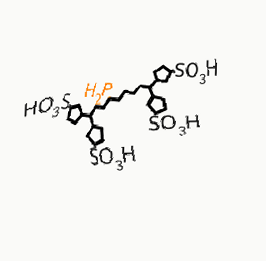 O=S(=O)(O)C1CCC(C(CCCCC(P)CCC(C2CCC(S(=O)(=O)O)C2)C2CCC(S(=O)(=O)O)C2)C2CCC(S(=O)(=O)O)C2)C1